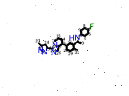 C=C(Nc1ccc(F)cc1)c1cc(-c2cccn3c(C4=NN=C(C)C4)ncc23)ccc1C